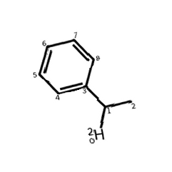 [2H]C(C)c1ccccc1